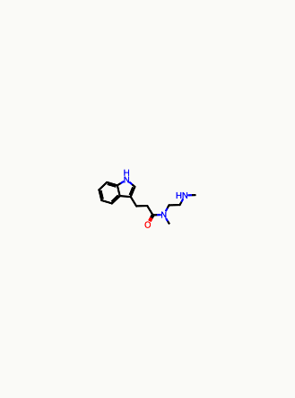 CNCCN(C)C(=O)CCc1c[nH]c2ccccc12